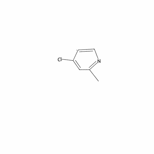 Cc1cc(Cl)[c]cn1